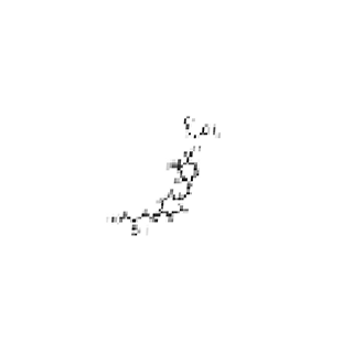 C[C@H](CCl)COc1ccc(Cc2ccc(OC[C@@H](O)CO)cc2)cc1F